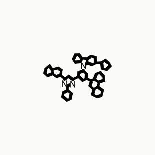 c1ccc(-c2ccc3c4ccccc4n(-c4cc(-c5cc(-c6ccc7ccccc7c6)nc(-c6ccccc6)n5)cc(-c5cc6ccccc6c6ccccc56)c4)c3c2)cc1